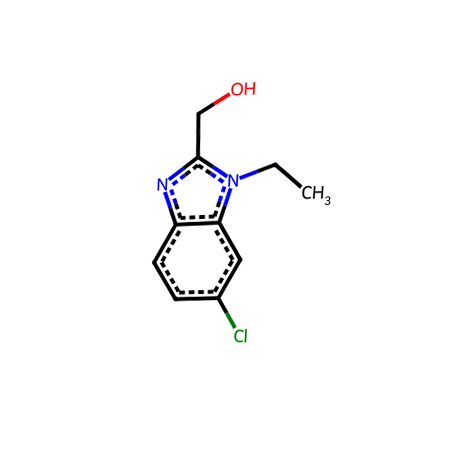 CCn1c(CO)nc2ccc(Cl)cc21